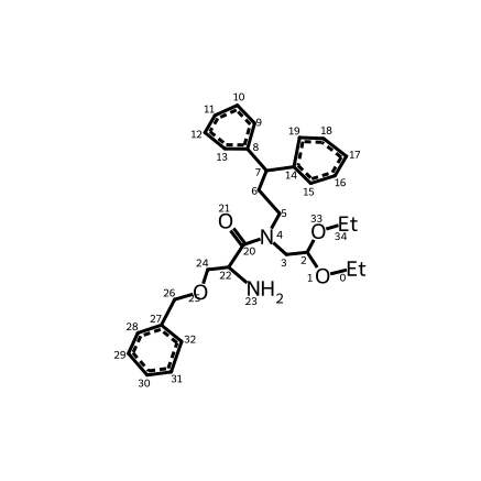 CCOC(CN(CCC(c1ccccc1)c1ccccc1)C(=O)C(N)COCc1ccccc1)OCC